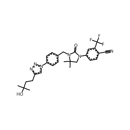 CC(C)(O)CCc1cn(-c2ccc(CN3C(=O)N(c4ccc(C#N)c(C(F)(F)F)c4)CC3(C)C)cc2)nn1